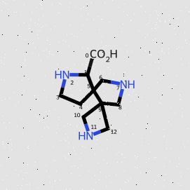 O=C(O)C1NCCC12CNCC21CNC1